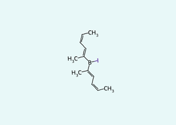 C/C=C\C=C(/C)B(I)/C(C)=C/C=C\C